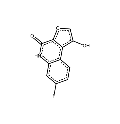 O=c1[nH]c2cc(F)ccc2c2c(O)coc12